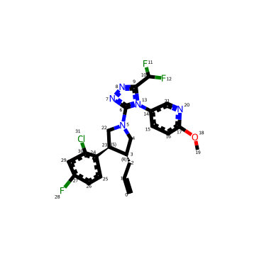 C=CC[C@H]1CN(c2nnc(C(F)F)n2-c2ccc(OC)nc2)C[C@@H]1c1ccc(F)cc1Cl